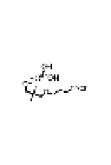 CCCCCCCCCCCCOCC(C)(C)CO.OP(O)O